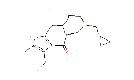 CCc1c(C)[nH]c2c1C(=O)C1CN(CC3CC3)CCC1C2.Cl